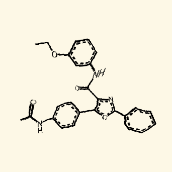 CCOc1cccc(NC(=O)c2nc(-c3ccccc3)oc2-c2ccc(NC(C)=O)cc2)c1